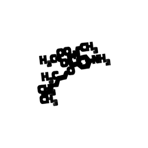 CCn1c(=O)c(OC(C)=O)c(OC/C=C(\C)CCC=C(C)C)c2ccc(N)cc21